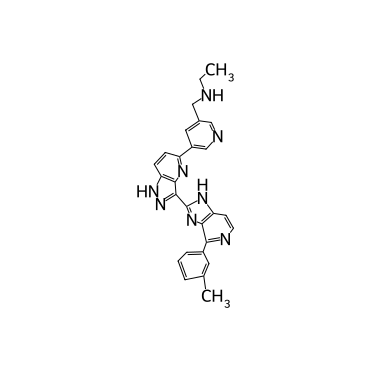 CCNCc1cncc(-c2ccc3[nH]nc(-c4nc5c(-c6cccc(C)c6)nccc5[nH]4)c3n2)c1